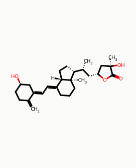 C=C1CC[C@@H](O)C/C1=C\C=C1/CCC[C@]2(C)[C@@H]([C@H](C)C[C@@H]3C[C@@](C)(O)C(=O)O3)CC[C@@H]12